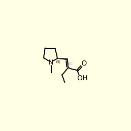 CC/C(=C\[C@@H]1CCCN1C)C(=O)O